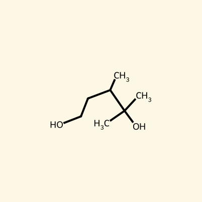 CC(CCO)C(C)(C)O